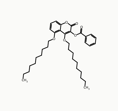 CCCCCCCCCCOc1cccc2oc(=O)c(OC(=O)c3ccccc3)c(OCCCCCCCCCC)c12